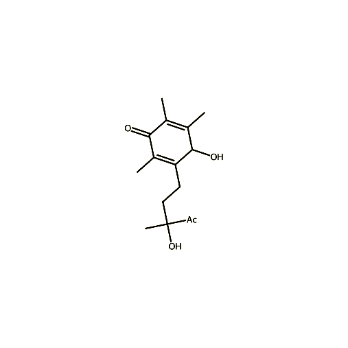 CC(=O)C(C)(O)CCC1=C(C)C(=O)C(C)=C(C)C1O